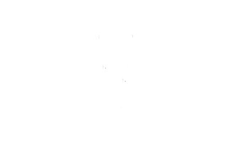 Cc1ccccc1-c1nc(C(O)C(C)C)c(C)[nH]1